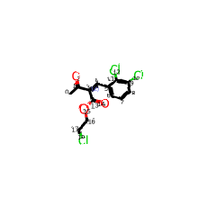 CC(=O)/C(=C/c1cccc(Cl)c1Cl)C(=O)OCCCl